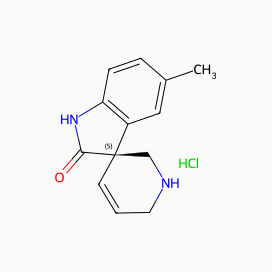 Cc1ccc2c(c1)[C@]1(C=CCNC1)C(=O)N2.Cl